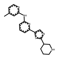 Cc1ccnc(Nc2cccc(-c3cnc(C4CCCNC4)s3)n2)c1